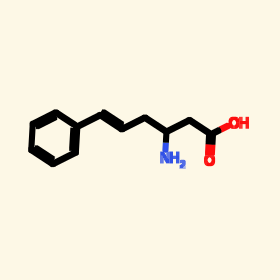 NC(CC=Cc1ccccc1)CC(=O)O